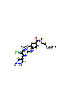 COCCN(C)C(=O)c1ccc(Nc2ncc(Cl)c(-c3cnn(C)c3)n2)c(OC)c1